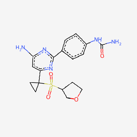 NC(=O)Nc1ccc(-c2nc(N)cc(C3(S(=O)(=O)C4CCOC4)CC3)n2)cc1